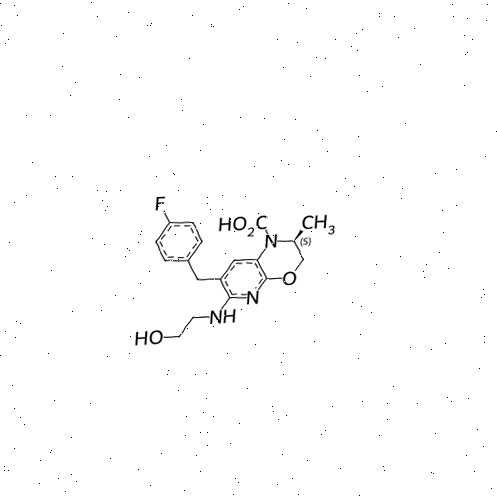 C[C@H]1COc2nc(NCCO)c(Cc3ccc(F)cc3)cc2N1C(=O)O